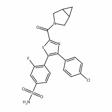 NS(=O)(=O)c1ccc(-c2sc(C(=O)N3CC4CC4C3)nc2-c2ccc(Cl)cc2)c(F)c1